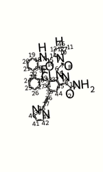 NC(=O)c1nn(CC(=O)N2C3C[C@@H]3C[C@H]2C(=O)Nc2cccc(-c3ccccc3Cl)c2F)c2ccc(C#Cc3ncccn3)cc12